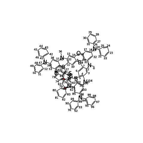 CN1c2cc3c(cc2B2c4cc5c(cc4Oc4cc(N(c6ccccc6)c6ccccc6)cc1c42)N(C)c1cc(N(c2ccccc2)c2ccccc2)cc2c1B5c1sc4ccccc4c1O2)B1c2sc4ccccc4c2N(c2ccccc2)c2cc(N(c4ccccc4)c4ccccc4)cc(c21)N3C